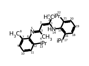 C/C(=C/C(C)=N/c1c(C)cccc1C(C)C)Nc1c(C(C)C)cccc1C(C)C